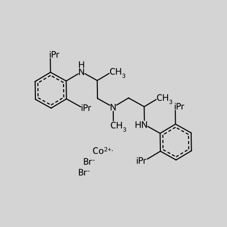 CC(CN(C)CC(C)Nc1c(C(C)C)cccc1C(C)C)Nc1c(C(C)C)cccc1C(C)C.[Br-].[Br-].[Co+2]